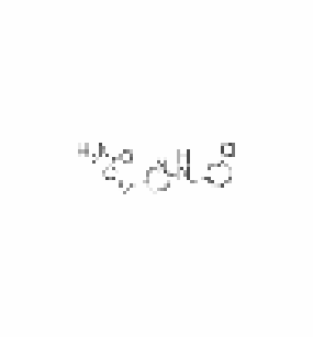 NC(=O)OC1CC1c1ccc(NCc2cccc(Cl)c2)nc1